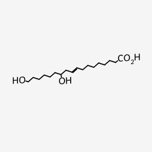 O=C(O)CCCCCCCC=CCC(O)CCCCCCO